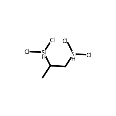 CC(C[SiH](Cl)Cl)[SiH](Cl)Cl